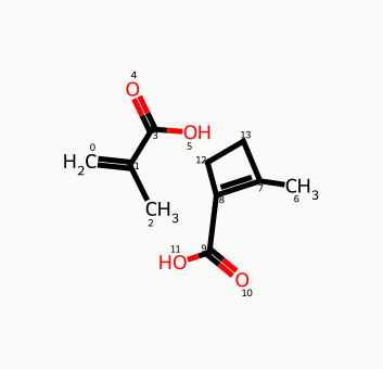 C=C(C)C(=O)O.CC1=C(C(=O)O)CC1